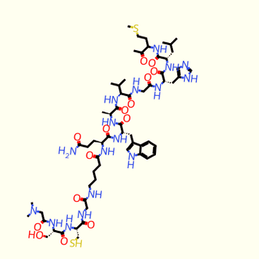 CSCCC(NC(=O)[C@H](CC(C)C)NC(=O)[C@H](Cc1cnc[nH]1)NC(=O)CNC(=O)[C@@H](NC(=O)[C@H](C)NC(=O)[C@H](Cc1c[nH]c2ccccc12)NC(=O)[C@H](CCC(N)=O)NC(=O)CCCCNC(=O)CNC(=O)[C@H](CS)NC(=O)[C@H](CO)NC(=O)CN(C)C)C(C)C)C(C)=O